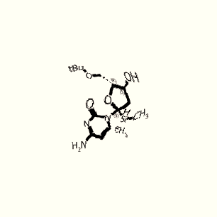 C[SiH](C)[C@]1(n2ccc(N)nc2=O)C[C@H](O)[C@@H](COC(C)(C)C)O1